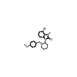 COc1ccc(CN2CCCCC2n2c(=O)n(C)c3c(Br)cccc32)cc1